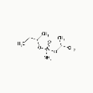 CCC(C)OP(N)(=O)OC(C)C